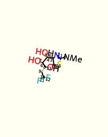 CNC1=N[C@@H]2[C@@H](O)[C@H](O)[C@@H](CC(F)F)O[C@@H]2S1